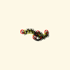 O=Cc1ccc(-c2ccc(-c3ccc(-c4cc5c6c7sc(-c8ccc(-c9ccc(-c%10ccc(C=O)s%10)s9)s8)cc7c(c5s4)OCCCCCCCCCCCCO6)s3)s2)s1